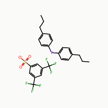 CCCc1ccc([I+]c2ccc(CCC)cc2)cc1.O=S(=O)([O-])c1cc(C(F)(F)F)cc(C(F)(F)F)c1